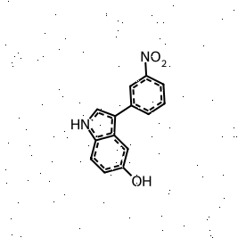 O=[N+]([O-])c1cccc(-c2c[nH]c3ccc(O)cc23)c1